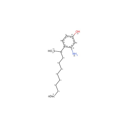 CCCCCCCCCCCCCCCCCC(c1ccc(O)cc1N)S(=O)(=O)O